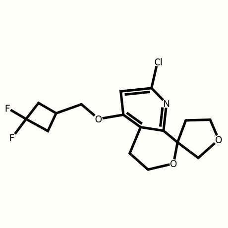 FC1(F)CC(COc2cc(Cl)nc3c2CCOC32CCOC2)C1